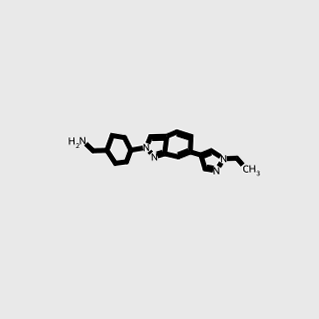 CCn1cc(-c2ccc3cn(C4CCC(CN)CC4)nc3c2)cn1